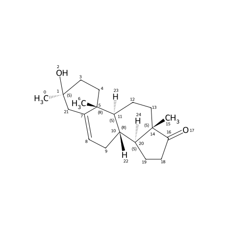 C[C@]1(O)CC[C@@]2(C)C(=CC[C@@H]3[C@@H]2CC[C@]2(C)C(=O)CC[C@@H]32)C1